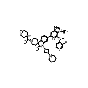 CC(C)n1cnc2cc(-c3ccc4c(c3)N(C3CC(N5CCCCC5)C3)C(=O)C43CCN(C(=O)C4(C)CCOCC4)CC3)nc(Nc3ccncc3F)c21